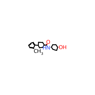 Cc1ccccc1C1CCC(C(=O)N[C@H]2CC[C@@H](O)CC2)CC1